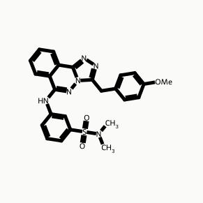 COc1ccc(Cc2nnc3c4ccccc4c(Nc4cccc(S(=O)(=O)N(C)C)c4)nn23)cc1